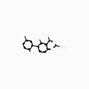 COc1ccc(Cl)cc1-c1ccc2nc(N)nc(N)c2c1Cl